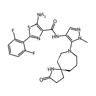 Cn1ncc(NC(=O)c2nc(-c3c(F)cccc3F)sc2N)c1N1CCC[C@]2(CCC(=O)N2)CC1